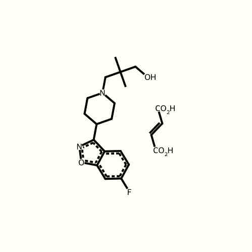 CC(C)(CO)CN1CCC(c2noc3cc(F)ccc23)CC1.O=C(O)/C=C/C(=O)O